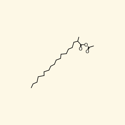 CCCCCCCCCCCCCCCCC(C)C(=O)OC(C)=O